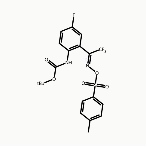 Cc1ccc(S(=O)(=O)O/N=C(/c2cc(F)ccc2NC(=O)OC(C)(C)C)C(F)(F)F)cc1